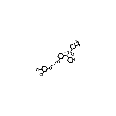 O=C(NC(c1cccnc1)c1cccc(OCCCOc2ccc(Cl)c(Cl)c2)c1)c1ccc2[nH]cnc2c1